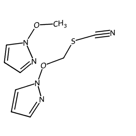 COn1cccn1.N#CSCOn1cccn1